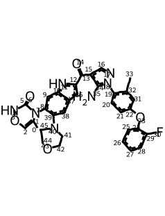 CC1=CONC(=O)N1c1cc2[nH]c(C(=O)c3cnn(-c4ccc(Oc5ccccc5F)cc4C)c3N)cc2cc1N1CCOCC1